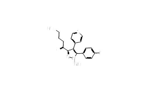 CCCCC(=O)c1nn(N)c(-c2ccc(F)cc2)c1-c1ccncc1